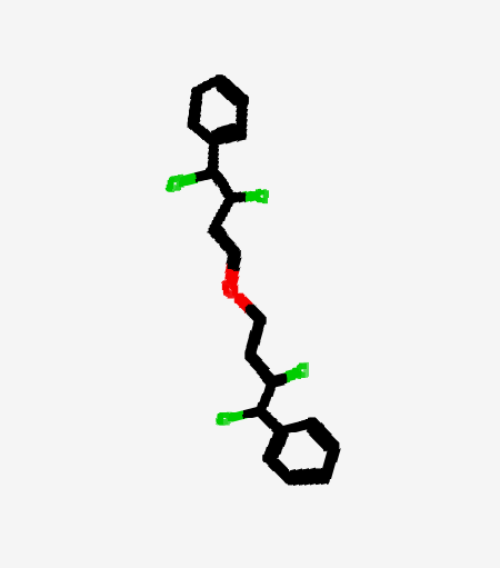 ClC(CCOCCC(Cl)C(Cl)c1ccccc1)C(Cl)c1ccccc1